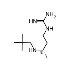 C[C@@H](CCNC(=N)N)NCC(C)(C)C